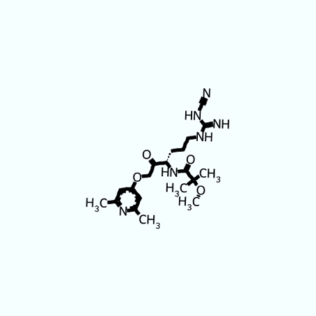 COC(C)(C)C(=O)N[C@@H](CCCNC(=N)NC#N)C(=O)COc1cc(C)nc(C)c1